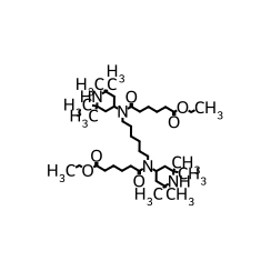 CCOC(=O)CCCCC(=O)N(CCCCCCN(C(=O)CCCCC(=O)OCC)C1CC(C)(C)NC(C)(C)C1)C1CC(C)(C)NC(C)(C)C1